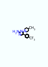 CC1CCN(c2nc(N)ncc2-c2ccc(C(F)(F)F)cc2)CC1